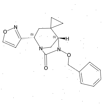 O=C1N2C[C@@H](N1OCc1ccccc1)C1(CC1)C[C@H]2c1ccon1